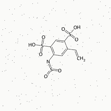 C=Cc1cc(N=S(=O)=O)c(S(=O)(=O)O)cc1S(=O)(=O)O